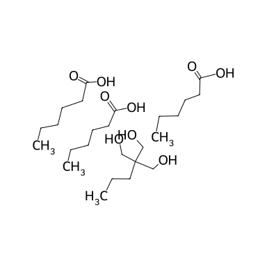 CCCC(CO)(CO)CO.CCCCCC(=O)O.CCCCCC(=O)O.CCCCCC(=O)O